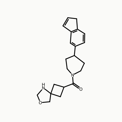 O=C(C1CC2(COCN2)C1)N1CCC(c2ccc3c(c2)C=CC3)CC1